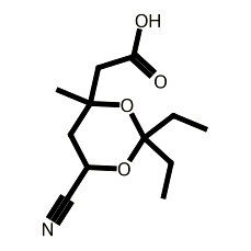 CCC1(CC)OC(C#N)CC(C)(CC(=O)O)O1